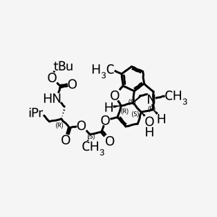 Cc1ccc2c3c1O[C@H]1C(OC(=O)[C@H](C)OC(=O)[C@@H](CNC(=O)OC(C)(C)C)CC(C)C)=CC[C@@]4(O)[C@@H](C2)N(C)CC[C@]314